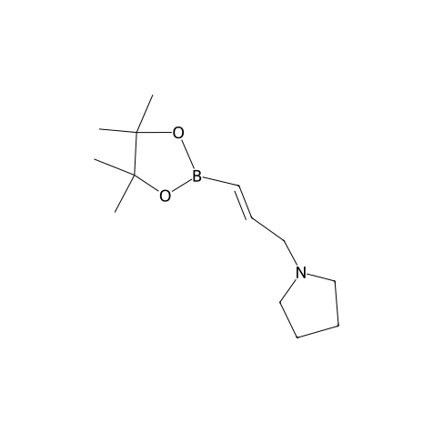 CC1(C)OB(C=CCN2CCCC2)OC1(C)C